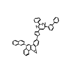 C1=CC2C(c3ccc4ccccc4c3)=CC3=C(C2C=C1)C1CC1c1ccc(C2=CC=C(c4cc(-c5cccc(-c6ccccc6)c5)nc(-c5ccccc5)n4)C2)cc13